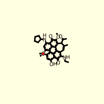 CCNc1c2c3c4c(c(OC)c(=O)c5c(NC6CCCC6)cc(OC)c(c6c(OC)cc(O)c(c1=O)c63)c54)C(C(C)=O)C(C)=C2